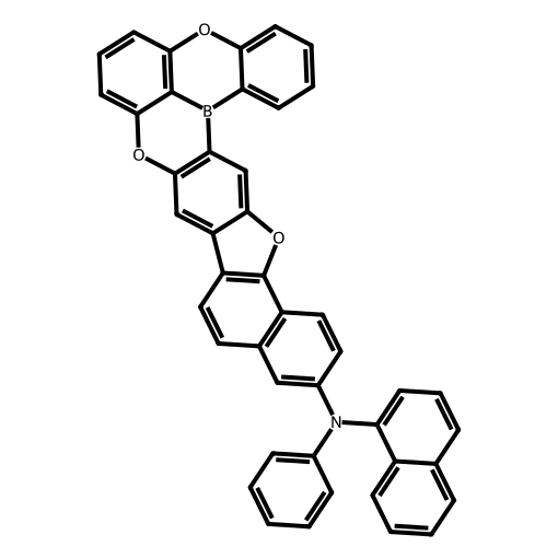 c1ccc(N(c2ccc3c(ccc4c5cc6c(cc5oc34)B3c4ccccc4Oc4cccc(c43)O6)c2)c2cccc3ccccc23)cc1